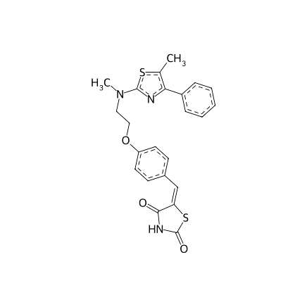 Cc1sc(N(C)CCOc2ccc(/C=C3/SC(=O)NC3=O)cc2)nc1-c1ccccc1